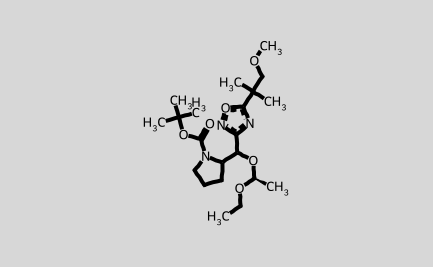 CCO[C@H](C)OC(c1noc(C(C)(C)COC)n1)C1CCCN1C(=O)OC(C)(C)C